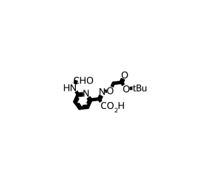 CC(C)(C)OC(=O)CON=C(C(=O)O)c1cccc(NC=O)n1